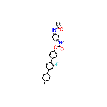 CCC(=O)N[C@H]1CC[C@@H](N(C)C(=O)Oc2ccc(-c3ccc(C4CCC(C)CC4)cc3F)cc2)C1